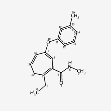 CCC1=C(C(=O)NC)C=C(Oc2cccc(C)c2)C=CC1